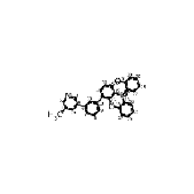 Cc1cncc(-c2cccc(-c3ccc4c5c3Oc3ccccc3P5(=S)c3ccccc3O4)c2)c1